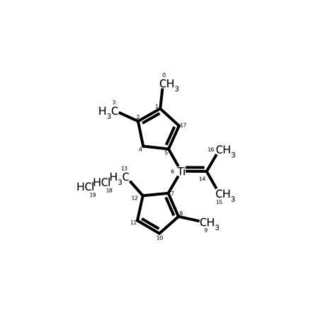 CC1=C(C)C[C]([Ti]([C]2=C(C)C=CC2C)=[C](C)C)=C1.Cl.Cl